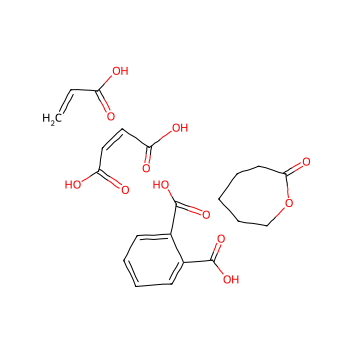 C=CC(=O)O.O=C(O)/C=C\C(=O)O.O=C(O)c1ccccc1C(=O)O.O=C1CCCCCO1